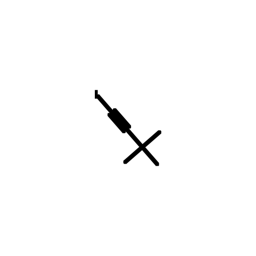 CC(C)(C)C#CI